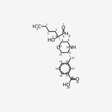 CCCCC(O)([PH2]=O)[C@@H]1CN[C@H](Cc2cccc(C(=O)O)c2)CO1